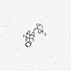 CC(C)COC(=O)C(C(F)F)(C1CC2C=CC1C2)C(F)(F)F